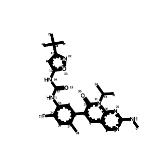 CNc1ncc2cc(-c3cc(NC(=O)Nc4cc(C(C)(C)C)no4)c(F)cc3C)c(=O)n(C(C)C)c2n1